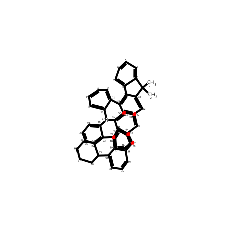 CC1(C)c2ccccc2-c2c(-c3ccccc3N(c3ccccc3-c3cccc4cccc(C5CCCCC5)c34)c3cccc4ccccc34)cccc21